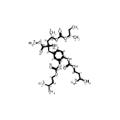 CC[C@H](C)OC(=O)O[C@@H](C)CC(N)(Cc1ccc(OC(=O)OCCC(C)C)c(OC(=O)OCCC(C)C)c1)C(=O)OC